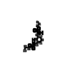 CCCOC(=O)NCC1CCCC(CNC(=O)OCCC)C1